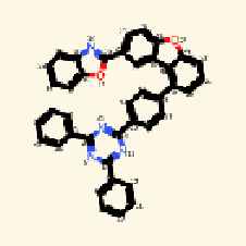 c1ccc(-c2nc(-c3ccccc3)nc(-c3ccc(-c4cccc5oc6ccc(-c7nc8ccccc8o7)cc6c45)cc3)n2)cc1